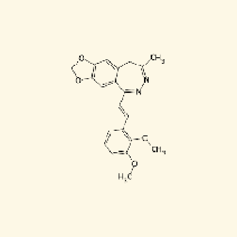 COc1cccc(C=CC2=NN=C(C)Cc3cc4c(cc32)OCO4)c1OC